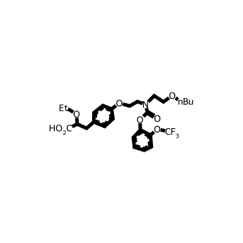 CCCCOCCN(CCOc1ccc(CC(OCC)C(=O)O)cc1)C(=O)Oc1ccccc1OC(F)(F)F